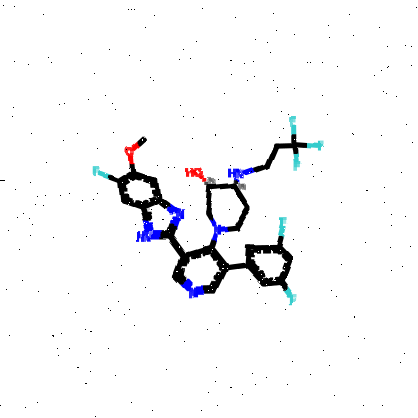 COc1cc2nc(-c3cncc(-c4cc(F)cc(F)c4)c3N3CC[C@@H](NCCC(F)(F)F)[C@@H](O)C3)[nH]c2cc1F